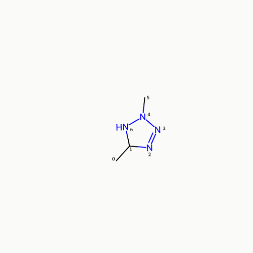 CC1N=NN(C)N1